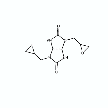 O=C1NC2C(NC(=O)N2CC2CO2)N1CC1CO1